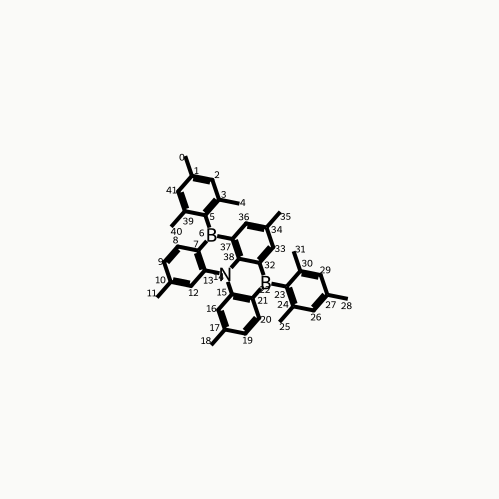 Cc1cc(C)c(B2c3ccc(C)cc3N3c4cc(C)ccc4B(c4c(C)cc(C)cc4C)c4cc(C)cc2c43)c(C)c1